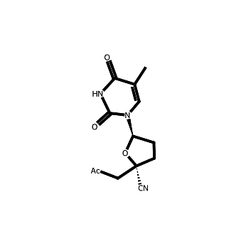 CC(=O)C[C@]1(C#N)CC[C@H](n2cc(C)c(=O)[nH]c2=O)O1